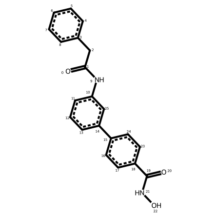 O=C(Cc1ccccc1)Nc1cccc(-c2ccc(C(=O)NO)cc2)c1